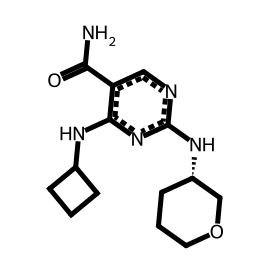 NC(=O)c1cnc(N[C@H]2CCCOC2)nc1NC1CCC1